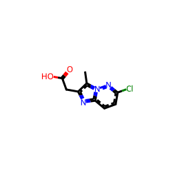 Cc1c(CC(=O)O)nc2ccc(Cl)nn12